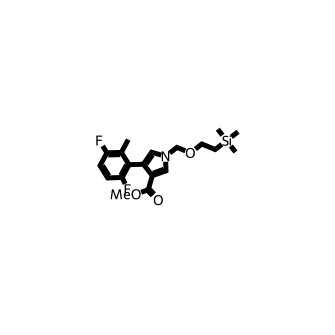 COC(=O)c1cn(COCC[Si](C)(C)C)cc1-c1c(F)ccc(F)c1C